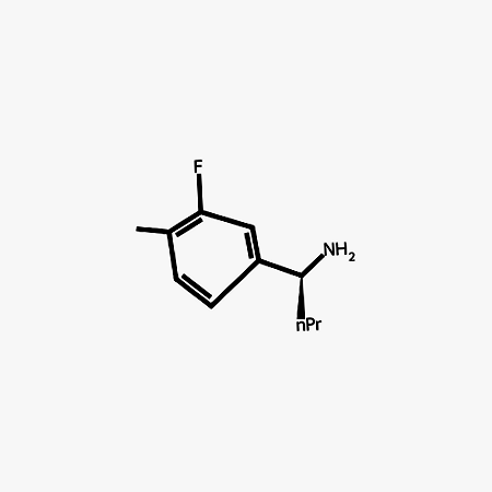 CCC[C@H](N)c1ccc(C)c(F)c1